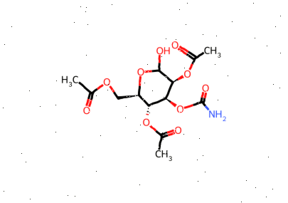 CC(=O)OC[C@H]1OC(O)[C@@H](OC(C)=O)[C@@H](OC(N)=O)[C@@H]1OC(C)=O